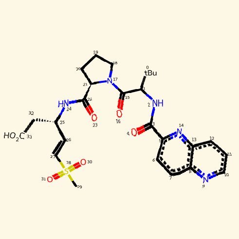 CC(C)(C)C(NC(=O)c1ccc2ncccc2n1)C(=O)N1CCC[C@@H]1C(=O)N[C@H](/C=C/S(C)(=O)=O)CC(=O)O